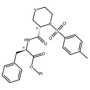 Cc1ccc(S(=O)(=O)N2CCSC[C@H]2C(=O)N[C@H](Cc2ccccc2)C(=O)OC(C)C)cc1